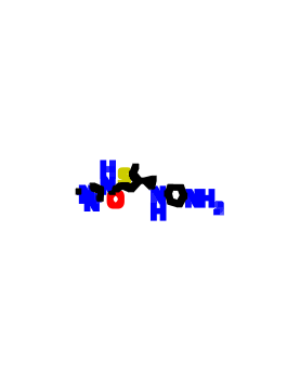 Cc1sc(C(=O)Nc2cnn(C)c2)cc1C1CC1NC1CCC(N)CC1